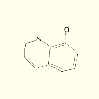 Clc1cccc2c1SCC=C2